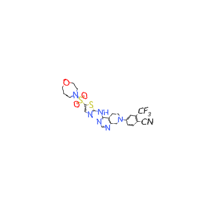 N#Cc1ccc(N2CCc3c(ncnc3Nc3ncc(S(=O)(=O)N4CCCOCC4)s3)C2)cc1C(F)(F)F